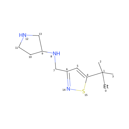 CCC(C)(C)c1cc(CNC2CCNC2)ns1